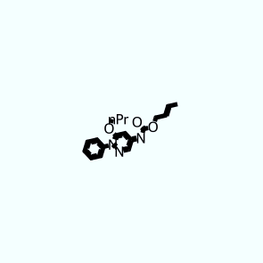 C/C=C/COC(=O)/N=c1/cnn(-c2ccccc2)c(OCCC)c1